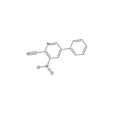 N#Cc1ncc(-c2ccccc2)cc1[N+](=O)[O-]